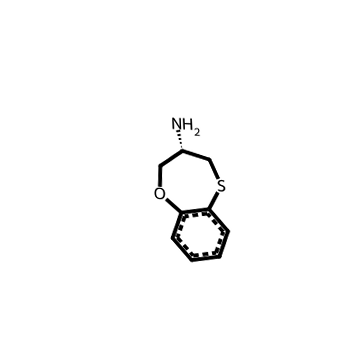 N[C@H]1COc2ccccc2SC1